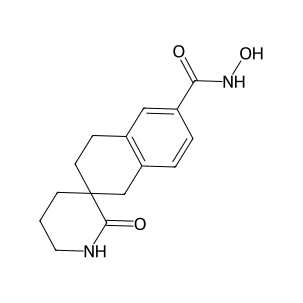 O=C(NO)c1ccc2c(c1)CCC1(CCCNC1=O)C2